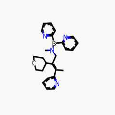 C/C(=C(\CN(C)B(c1ccccn1)c1ccccn1)C1CCCCC1)c1ccccn1